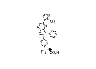 Cn1nccc1-c1cnc2oc(-c3ccc(C4(NC(=O)O)CCC4)cc3)c(-c3ccccc3)c2n1